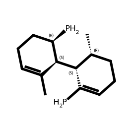 CC1=CCC[C@@H](P)[C@H]1[C@H]1C(P)=CCC[C@H]1C